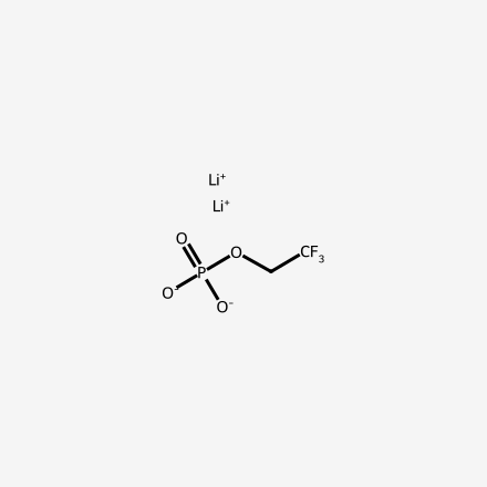 O=P([O-])([O-])OCC(F)(F)F.[Li+].[Li+]